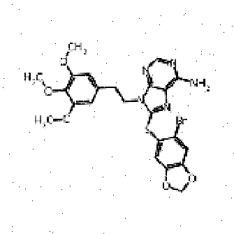 COc1cc(CCn2c(Sc3cc4c(cc3Br)OCO4)nc3c(N)ncnc32)cc(OC)c1OC